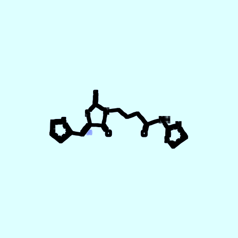 O=C(CCCN1C(=O)/C(=C/c2cccs2)SC1=S)Nc1nccs1